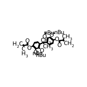 C=C(C)C(=O)Oc1ccc(C(C)(C)c2ccc(OC(=O)C(=C)C)c(OCCCC)c2OCCCC)c(OCCCC)c1OCCCC